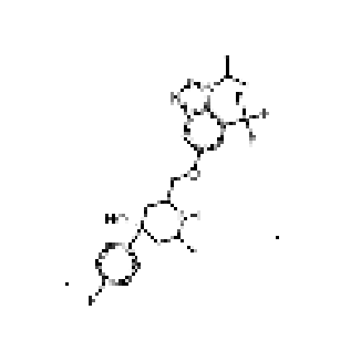 CC(C)n1cnc2cc(OC[C@@H]3C[C@](O)(c4ccc(F)cc4)C[C@H](C)N3)cc(C(F)(F)F)c21